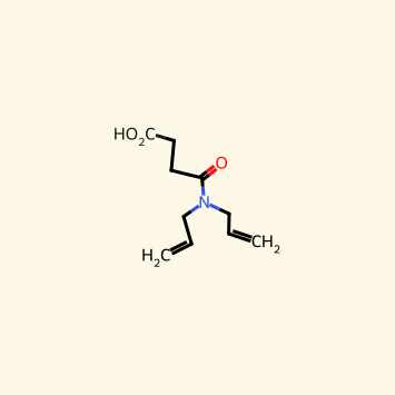 C=CCN(CC=C)C(=O)CCC(=O)O